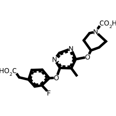 Cc1c(Oc2ccc(CC(=O)O)cc2F)ncnc1OC1CCN(C(=O)O)CC1